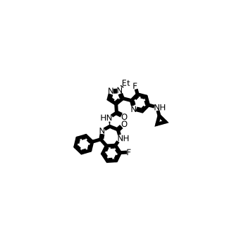 CCn1ncc(C(=O)N[C@H]2N=C(c3ccccc3)c3cccc(F)c3NC2=O)c1-c1ncc(NC2CC2)cc1F